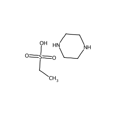 C1CNCCN1.CCS(=O)(=O)O